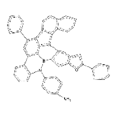 Cc1ccc(N2B3c4cc5oc(-c6ccccc6)cc5cc4-n4c5c3c(cc(-c3ccccc3)c5c3ccc5ccccc5c34)-c3ccccc32)cc1